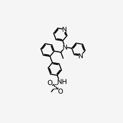 CC(c1ccccc1-c1ccc(NS(C)(=O)=O)cc1)N(c1cccnc1)c1cccnc1